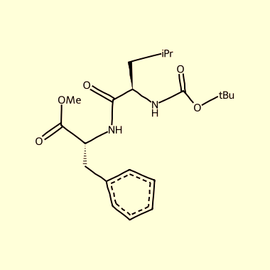 COC(=O)[C@@H](Cc1ccccc1)NC(=O)[C@@H](CC(C)C)NC(=O)OC(C)(C)C